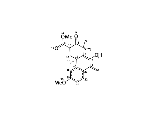 C=C1C(O)=C2C(C)(C)C(=O)C(C(=O)OC)=C[C@]2(C)c2cc(OC)ccc21